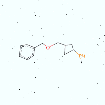 CPC1CC(COCc2ccccc2)C1